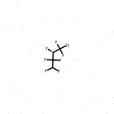 [CH2]CC(F)(F)[C@H](F)C(F)(F)C(F)F